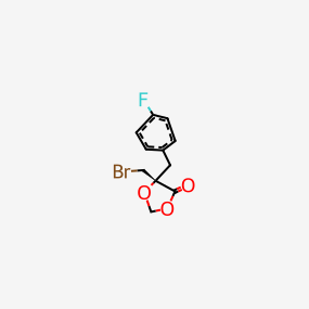 O=C1OCO[C@]1(CBr)Cc1ccc(F)cc1